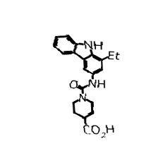 CCc1cc(NC(=O)N2CCC(C(=O)O)CC2)cc2c1[nH]c1ccccc12